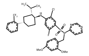 COc1ccc(CN(c2ccncn2)S(=O)(=O)c2cc(Cl)c(N[C@H]3CC[C@H](c4ccccc4C(F)(F)F)C[C@@H]3N(C)C)cc2F)c(OC)c1